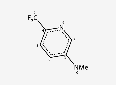 CNc1ccc(C(F)(F)F)nc1